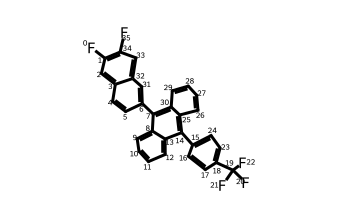 Fc1cc2ccc(-c3c4ccccc4c(-c4ccc(C(F)(F)F)cc4)c4ccccc34)cc2cc1F